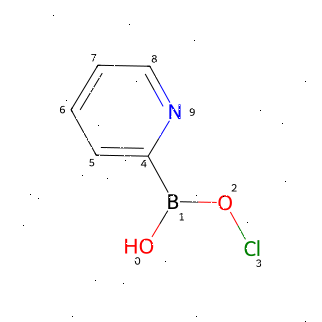 OB(OCl)c1ccccn1